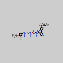 COC(=O)c1ccc2c(c1)nc(NCCC(=O)NCCCNCc1ccc(OC(F)(F)F)c(Cl)c1)c1ccncc12